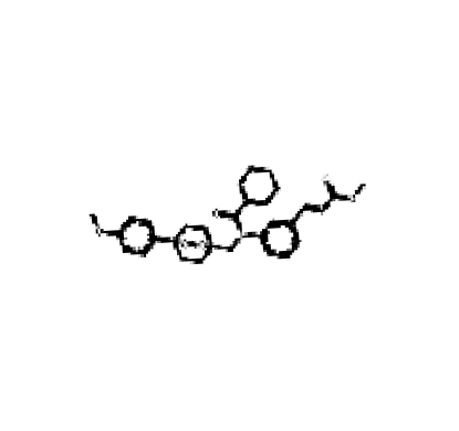 COC(=O)/C=C/c1cccc(N(CC23CCC(c4ccc(OC)cc4)(CC2)OC3)C(=O)C2CCCCC2)c1